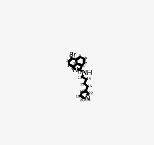 Brc1ccc2c3c(cccc13)C(NCCCCc1cccnc1)=N2